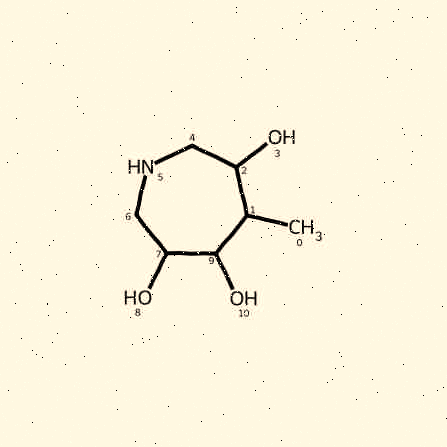 CC1C(O)CNCC(O)C1O